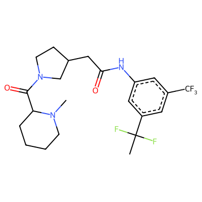 CN1CCCCC1C(=O)N1CCC(CC(=O)Nc2cc(C(C)(F)F)cc(C(F)(F)F)c2)C1